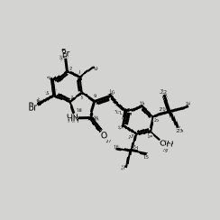 Cc1c(Br)cc(Br)c2c1C(=Cc1cc(C(C)(C)C)c(O)c(C(C)(C)C)c1)C(=O)N2